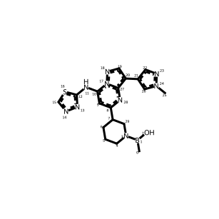 CB(O)N1CCCC(c2cc(Nc3nncs3)n3ncc(-c4cnn(C)c4)c3n2)C1